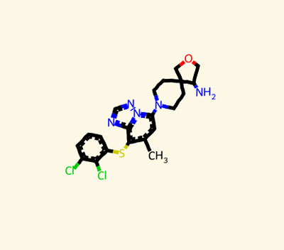 Cc1cc(N2CCC3(CC2)COCC3N)n2ncnc2c1Sc1cccc(Cl)c1Cl